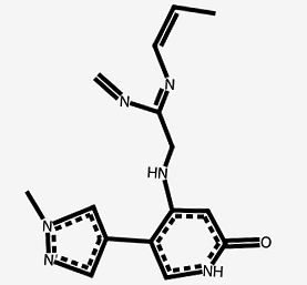 C=N/C(CNc1cc(=O)[nH]cc1-c1cnn(C)c1)=N\C=C/C